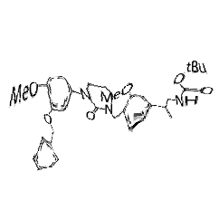 C=C(CNC(=O)OC(C)(C)C)c1ccc(CN2CCCN(c3ccc(OC)c(OCc4ccccc4)c3)C2=O)c(OC)c1